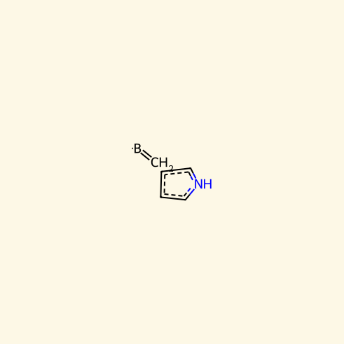 [B]=C.c1cc[nH]c1